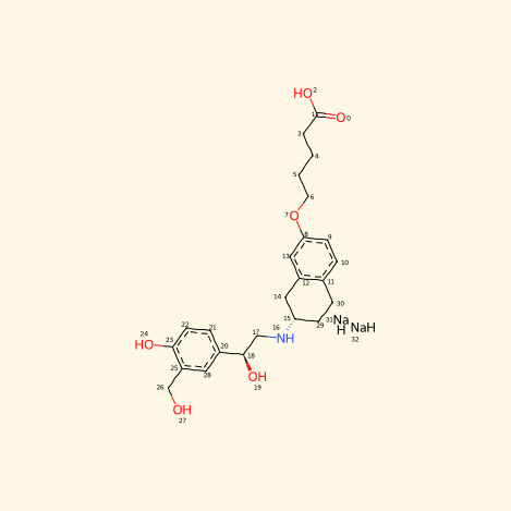 O=C(O)CCCCOc1ccc2c(c1)C[C@@H](NC[C@@H](O)c1ccc(O)c(CO)c1)CC2.[NaH].[NaH]